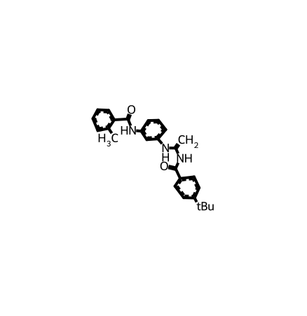 C=C(NC(=O)c1ccc(C(C)(C)C)cc1)Nc1cccc(NC(=O)c2ccccc2C)c1